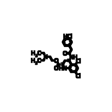 CCN(CC)CCOC(=O)[C@@H]1C[C@@H](NC(=O)Cc2ccccc2)c2c(Cl)cc(Cl)cc2N1.Cl